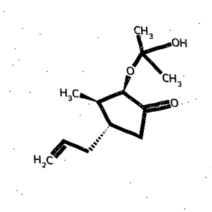 C=CC[C@H]1CC(=O)[C@H](OC(C)(C)O)[C@@H]1C